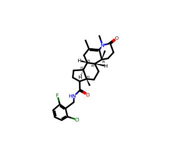 CC1=C2N(C)C(=O)CC[C@]2(C)[C@@H]2CC[C@]3(C)C(C(=O)NCc4c(F)cccc4Cl)CC[C@H]3[C@@H]2C1